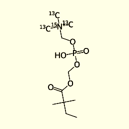 CCC(C)(C)C(=O)OCOP(=O)(O)OC[15N+]([13CH3])([13CH3])[13CH3]